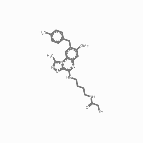 COc1cc2nc(NCCCCNC(=O)CC(C)C)c3nnc(C)n3c2cc1Cc1ccc(N)cc1